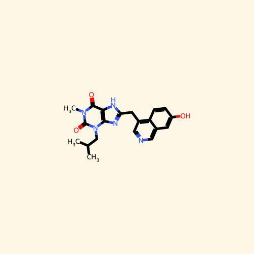 CC(C)Cn1c(=O)n(C)c(=O)c2[nH]c(Cc3cncc4cc(O)ccc34)nc21